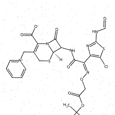 CC(C)(C)OC(=O)CO/N=C(\C(=O)NC1C(=O)N2C(C(=O)[O-])=C(C[n+]3ccccc3)CS[C@H]12)c1nc(NC=O)sc1Cl